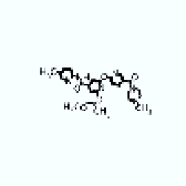 COC[C@@H](C)Oc1cc(C(=O)Nc2ccc(C)cn2)cc(Oc2ccc(C(=O)N3CCN(C)CC3)cn2)n1